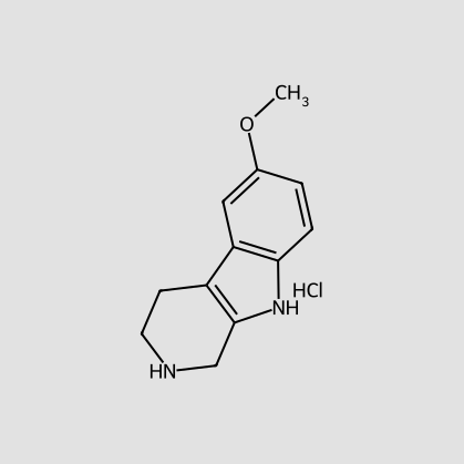 COc1ccc2[nH]c3c(c2c1)CCNC3.Cl